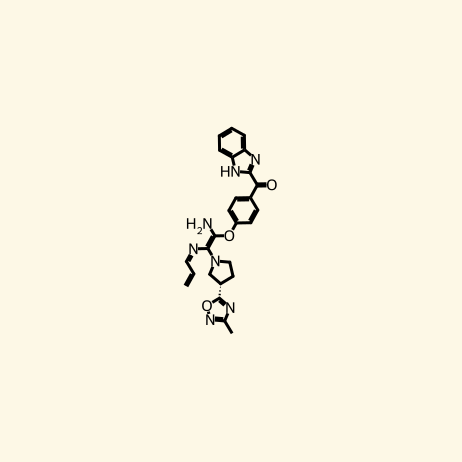 C=C/C=N\C(=C(/N)Oc1ccc(C(=O)c2nc3ccccc3[nH]2)cc1)N1CC[C@H](c2nc(C)no2)C1